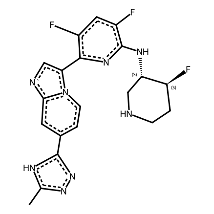 Cc1nnc(-c2ccn3c(-c4nc(N[C@H]5CNCC[C@@H]5F)c(F)cc4F)cnc3c2)[nH]1